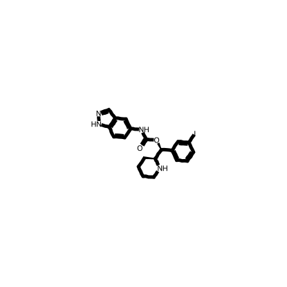 O=C(Nc1ccc2[nH]ncc2c1)O[C@@H](c1cccc(I)c1)[C@@H]1CCCCN1